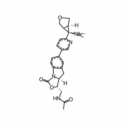 [C-]#[N+][C@@]1(c2ccc(-c3ccc4c(c3)C[C@H]3[C@H](CNC(C)=O)OC(=O)N43)cn2)C2COC[C@H]21